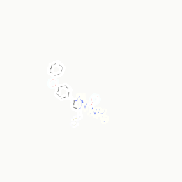 NC(=O)n1nc(-c2ccc(Oc3ccccc3)cc2)cc1C=S